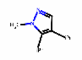 CC(C)c1cnn(C)c1C(C)C